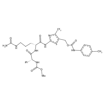 Cc1ccc(NC(=O)OCc2sc(NC(=O)[C@@H](CCCNC(N)=O)NC(=O)[C@H](NC(=O)OC(C)(C)C)C(C)C)nc2C(F)(F)F)cc1